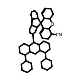 N#CC1CCC=C2C1OC1CCC=CC1C21C2CCCCC2C2CCC(C3C4CCCC(C5CCCCC5)C4CC4C(C5CCCCC5)CCCC43)CC21